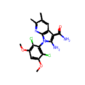 COc1cc(OC)c(Cl)c(-n2c(N)c(C(N)=O)c3cc(C)c(C)nc32)c1Cl